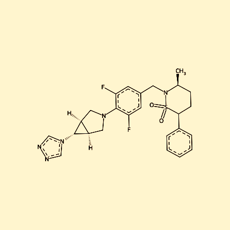 C[C@H]1CCC(c2ccccc2)S(=O)(=O)N1Cc1cc(F)c(N2C[C@@H]3[C@H](C2)[C@H]3n2cnnc2)c(F)c1